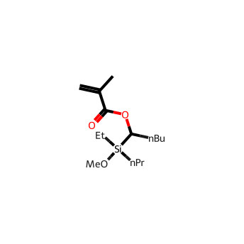 C=C(C)C(=O)OC(CCCC)[Si](CC)(CCC)OC